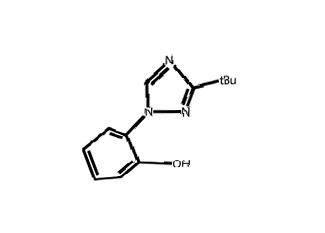 CC(C)(C)c1ncn(-c2ccccc2O)n1